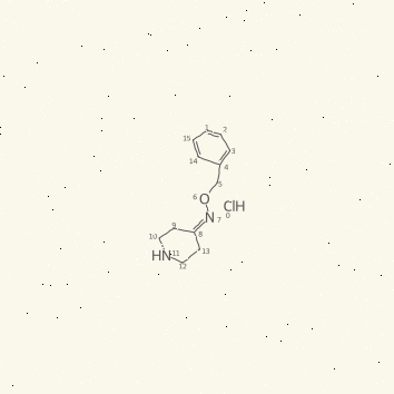 Cl.c1ccc(CON=C2CCNCC2)cc1